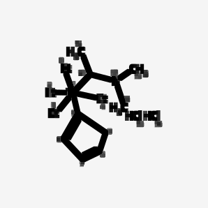 C[CH2][Ti]([CH2]C)([CH2]C)([CH2]C)([C]1=CC=CC1)[CH](C)N(C)C.Cl.Cl